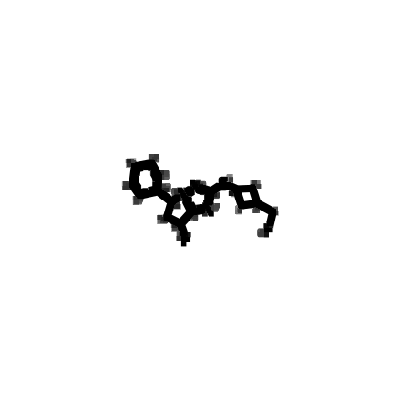 FCC1CC(Sc2nc3n(n2)C(c2ccccc2)CC3F)C1